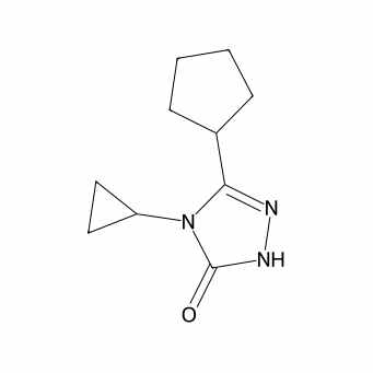 O=c1[nH]nc(C2CCCC2)n1C1CC1